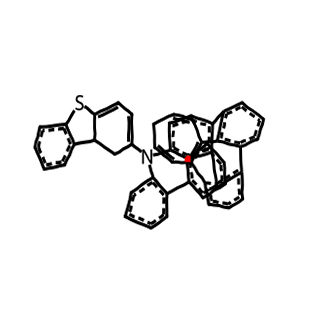 C1=CC2=C(C=CC1)c1c3cccc1-c1cccc2c1-c1cc(N(C2=CC=C4Sc5ccccc5C4C2)c2ccccc2-c2ccccc2)ccc1-3